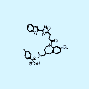 COc1ccc2c(c1)N(C(=O)CCc1nc(-c3cc4ccccc4o3)no1)CCC(CN(C)C)C2.Cc1ccc(S(=O)(=O)O)cc1